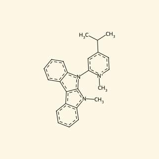 CC(C)c1cc[n+](C)c(-n2c3ccccc3c3c4ccccc4n(C)c32)c1